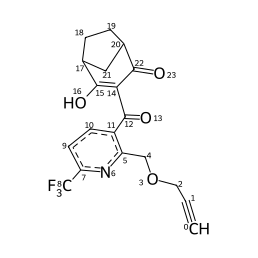 C#CCOCc1nc(C(F)(F)F)ccc1C(=O)C1=C(O)C2CCC(C2)C1=O